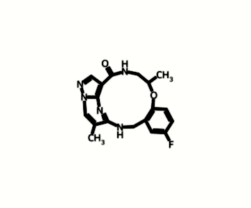 Cc1cn2ncc3c2nc1NCc1cc(F)ccc1OC(C)CNC3=O